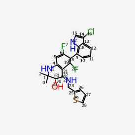 CC1(C)Nc2cc(F)c(-c3cccc4c(Cl)c[nH]c34)c(F)c2[C@H](NCc2cccs2)[C@H]1O